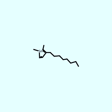 CCCCCCCCC1=C(C)[SiH](C)C=C1